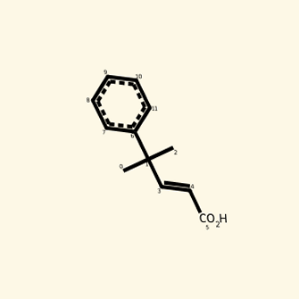 CC(C)(C=CC(=O)O)c1ccccc1